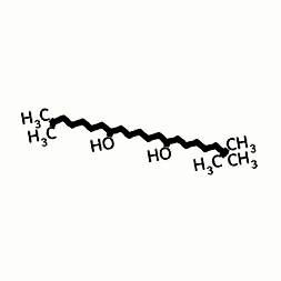 CC(C)CCCCCC(O)CCCCCC(O)CCCCCC(C)(C)C